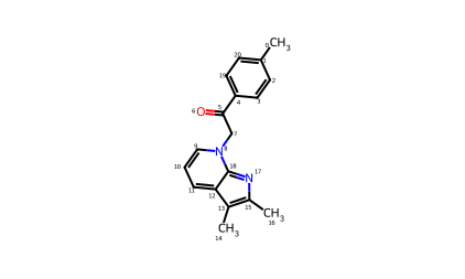 Cc1ccc(C(=O)Cn2cccc3c(C)c(C)nc2-3)cc1